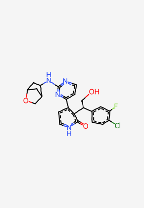 O=c1[nH]ccc(-c2ccnc(NC3CC4CC3CO4)n2)c1[C@@H](CO)c1ccc(Cl)c(F)c1